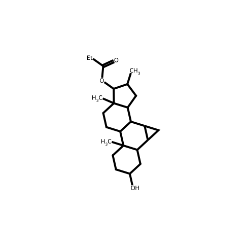 CCC(=O)OC1C(C)CC2C3C4CC4C4CC(O)CCC4(C)C3CCC21C